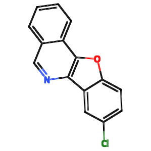 Clc1ccc2oc3c4ccccc4cnc3c2c1